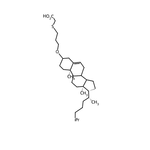 CC(C)CCC[C@@H](C)[C@H]1CCC2C3CC=C4CC(OCCCSCC(=O)O)CC[C@]4(C)C3CC[C@@]21C